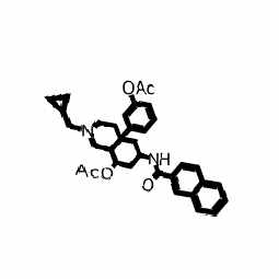 CC(=O)Oc1cccc(C23CCN(CC4CC4)CC2C(OC(C)=O)CC(NC(=O)c2ccc4ccccc4c2)C3)c1